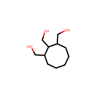 OCC1CCCCCC(CO)C1CO